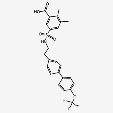 Cc1cc(S(=O)(=O)NCCc2ccc(-c3ccc(OC(F)(F)F)cc3)cc2)cc(C(=O)O)c1C